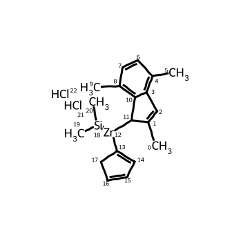 CC1=Cc2c(C)ccc(C)c2[CH]1[Zr]([C]1=CC=CC1)=[Si](C)C.Cl.Cl